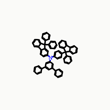 c1ccc(-c2cc(-c3ccccc3)cc(N(c3ccc(C4(c5ccccc5)c5ccccc5-c5ccccc54)cc3)c3ccc4c(c3)C(c3ccccc3)(c3ccccc3)c3ccccc3-4)c2)cc1